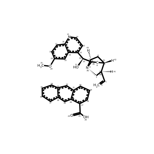 C=C[C@H]1C[N@]2CC[C@H]1C[C@@H]2[C@@H](O)c1ccnc2ccc(OC)cc12.O=C(O)c1cccc2cc3ccccc3cc12